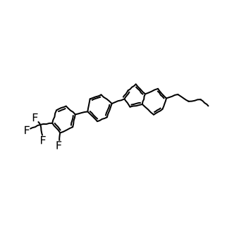 CCCCc1ccc2cc(-c3ccc(-c4ccc(C(F)(F)F)c(F)c4)cc3)ccc2c1